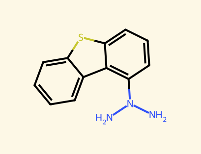 NN(N)c1cccc2sc3ccccc3c12